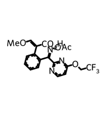 CO/C=C(/C(=O)O)c1ccccc1/C(=N/OC(C)=O)c1nccc(OCC(F)(F)F)n1